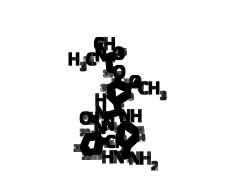 COc1cc(C(Nc2ccc(C(=N)N)cc2)c2nn(-c3ccccc3Cl)c(=O)[nH]2)ccc1OCC(=O)N(C)C